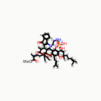 COC(=O)/C(C)=C\CC12OC(C)(C)C(C)C13Oc1c(CC=C(C)C)c4c(c(OP(=O)(O)O)c1C1=C3C(C3=C(c5ccccc5C3=O)N1CCN)C(C)C2=O)C=CC(C)(CCC=C(C)C)O4